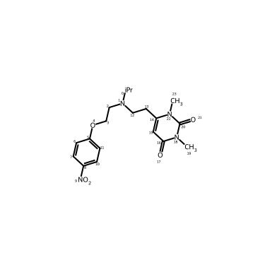 CC(C)N(CCOc1ccc([N+](=O)[O-])cc1)CCc1cc(=O)n(C)c(=O)n1C